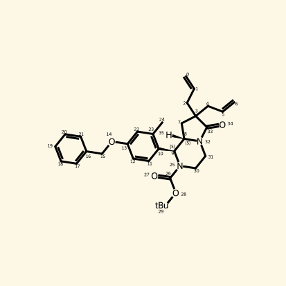 C=CCC1(CC=C)C[C@H]2[C@H](c3ccc(OCc4ccccc4)cc3C)N(C(=O)OC(C)(C)C)CCN2C1=O